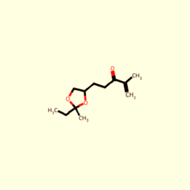 C=C(C)C(=O)CCC1COC(C)(CC)O1